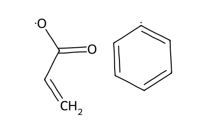 C=CC([O])=O.[c]1ccccc1